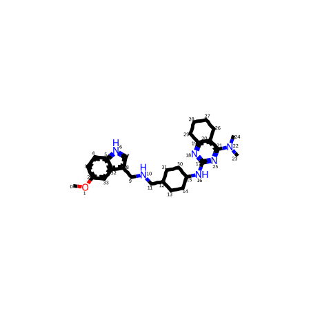 COc1ccc2[nH]cc(CNCC3CCC(Nc4nc5c(c(N(C)C)n4)CCCC5)CC3)c2c1